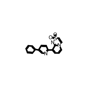 O=S1(=O)C=CN2C=CC=C(c3ccc(-c4ccccc4)cn3)C2=N1